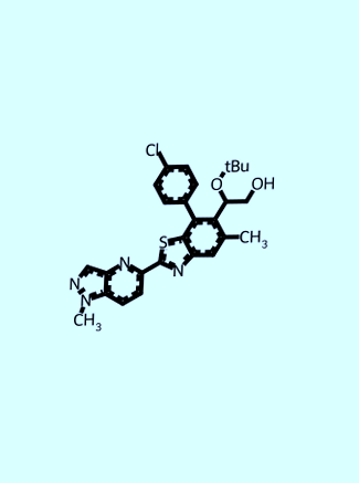 Cc1cc2nc(-c3ccc4c(cnn4C)n3)sc2c(-c2ccc(Cl)cc2)c1C(CO)OC(C)(C)C